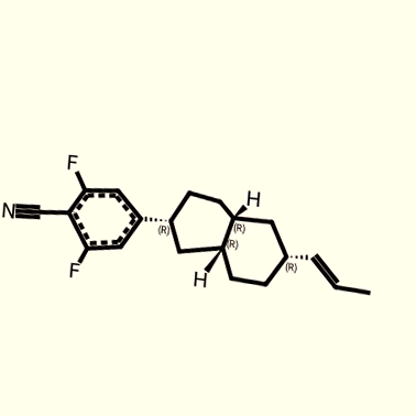 CC=C[C@@H]1CC[C@@H]2C[C@H](c3cc(F)c(C#N)c(F)c3)CC[C@@H]2C1